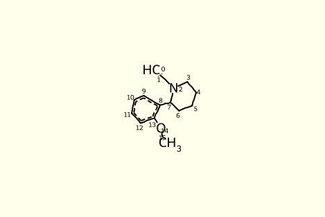 C#CN1CCCCC1c1ccccc1OC